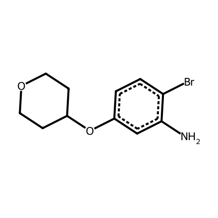 Nc1cc(OC2CCOCC2)ccc1Br